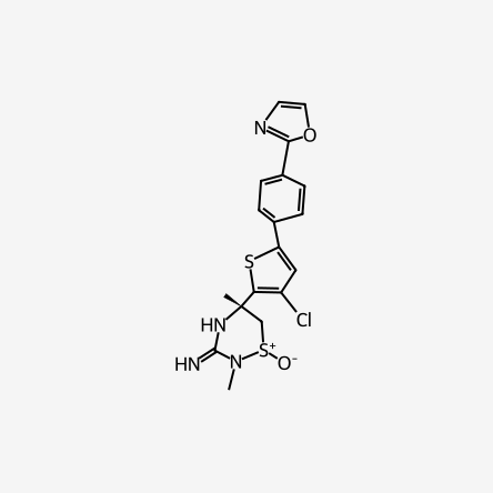 CN1C(=N)N[C@](C)(c2sc(-c3ccc(-c4ncco4)cc3)cc2Cl)C[S+]1[O-]